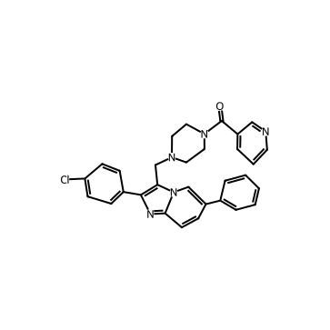 O=C(c1cccnc1)N1CCN(Cc2c(-c3ccc(Cl)cc3)nc3ccc(-c4ccccc4)cn23)CC1